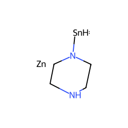 [SnH][N]1CCNCC1.[Zn]